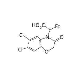 CCC(C(=O)O)N1C(=O)COc2cc(Cl)c(Cl)cc21